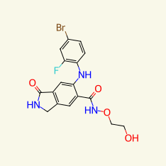 O=C1NCc2cc(C(=O)NOCCO)c(Nc3ccc(Br)cc3F)cc21